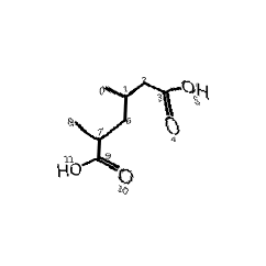 CC(CC(=O)O)CC(C)C(=O)O